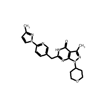 Cc1ccn(-c2ccc(Cc3nc4c(c(C)nn4C4CCOCC4)c(=O)[nH]3)cn2)n1